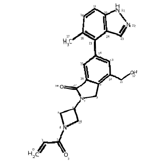 C=CC(=O)N1CC(N2Cc3c(CO)cc(-c4c(C)ccc5[nH]ncc45)cc3C2=O)C1